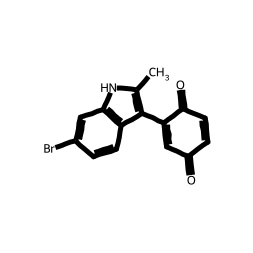 Cc1[nH]c2cc(Br)ccc2c1C1=CC(=O)C=CC1=O